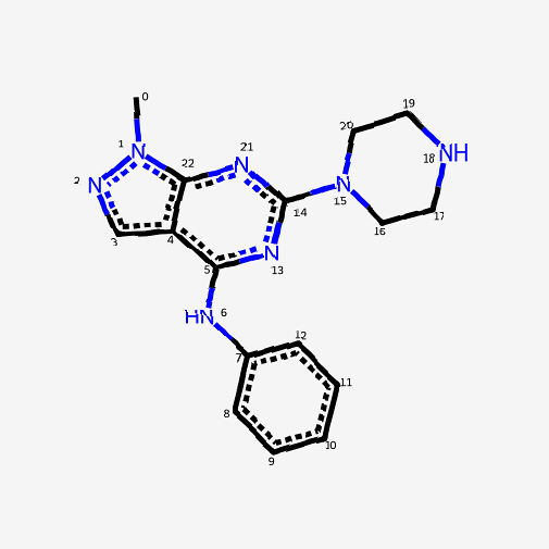 Cn1ncc2c(Nc3ccccc3)nc(N3CCNCC3)nc21